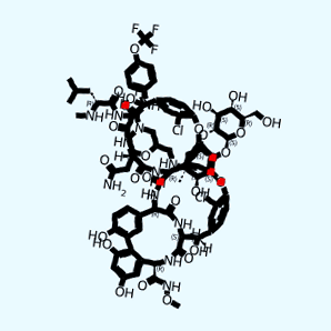 CN[C@H](CC(C)C)C(=O)N[C@H]1C(=O)N[C@@H](CC(N)=O)C(=O)N[C@H]2C(=O)N[C@H]3C(=O)N[C@H](C(=O)N[C@@H](C(=O)NOC)c4cc(O)cc(O)c4-c4cc3ccc4O)[C@H](O)c3ccc(c(Cl)c3)Oc3cc2cc(c3O[C@@H]2O[C@H](CO)[C@@H](O)[C@H](O)[C@H]2O[C@H]2C[C@](C)(NCC3CN(C(=O)Nc4ccc(OC(F)(F)F)cc4)CCO3)[C@H](O)[C@H](C)O2)Oc2ccc(cc2Cl)[C@H]1O